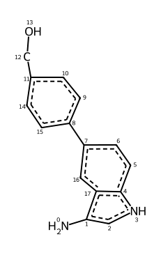 Nc1c[nH]c2ccc(-c3ccc(CO)cc3)cc12